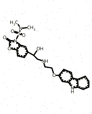 CN(C)S(=O)(=O)n1c(=O)oc2ccc(C(O)CNCCOc3ccc4c(c3)[nH]c3ccccc34)cc21